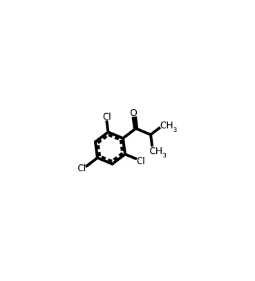 CC(C)C(=O)c1c(Cl)cc(Cl)cc1Cl